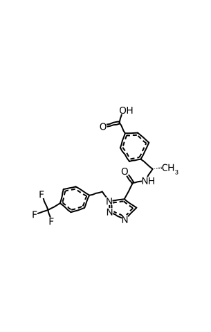 C[C@H](NC(=O)c1cnnn1Cc1ccc(C(F)(F)F)cc1)c1ccc(C(=O)O)cc1